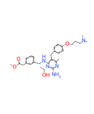 COC(=O)Cc1cccc([C@@H](CCO)Nc2nc(N)nc(C)c2Cc2ccc(OCCCN(C)C)cc2)c1